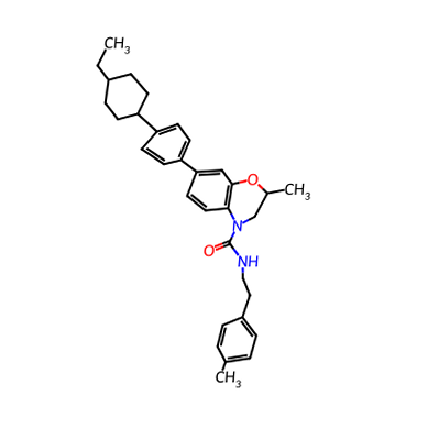 CCC1CCC(c2ccc(-c3ccc4c(c3)OC(C)CN4C(=O)NCCc3ccc(C)cc3)cc2)CC1